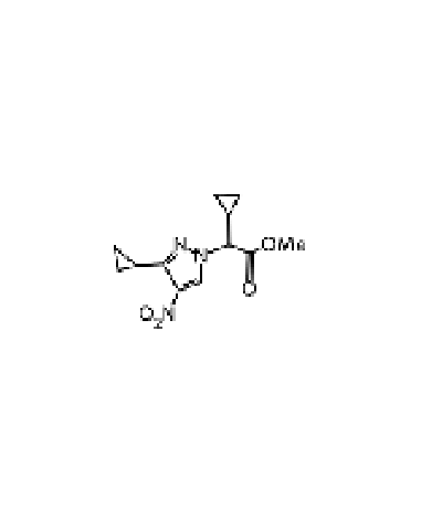 COC(=O)C(C1CC1)n1cc([N+](=O)[O-])c(C2CC2)n1